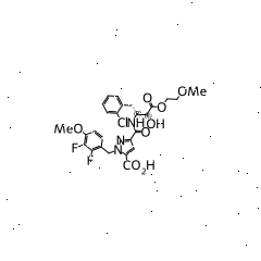 COCCOC(=O)[C@H](O)[C@@H](Cc1ccccc1Cl)NC(=O)c1cc(C(=O)O)n(Cc2ccc(OC)c(F)c2F)n1